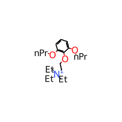 CCCOc1cccc(OCCC)c1OCC[N+](CC)(CC)CC